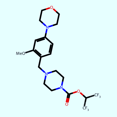 COc1cc(N2CCOCC2)ccc1CN1CCN(C(=O)OC(C(F)(F)F)C(F)(F)F)CC1